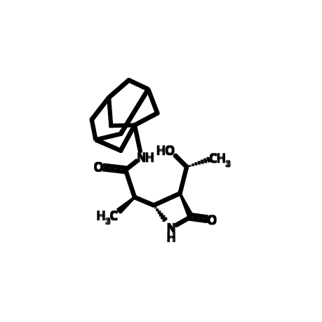 C[C@@H](O)[C@H]1C(=O)N[C@@H]1[C@@H](C)C(=O)NC12CC3CC(CC(C3)C1)C2